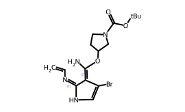 C=C/N=C1/NC=C(Br)/C1=C(/N)OC1CCN(C(=O)OC(C)(C)C)C1